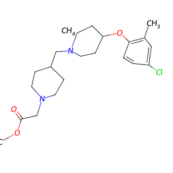 C.COC(=O)CN1CCC(CN2CCC(Oc3ccc(Cl)cc3C)CC2)CC1